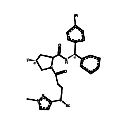 CC(=O)N(CCC(=O)N1C[C@H](F)CC1C(=O)N[C@@H](c1ccccc1)c1ccc(C(C)C)cc1)c1ccn(C)n1